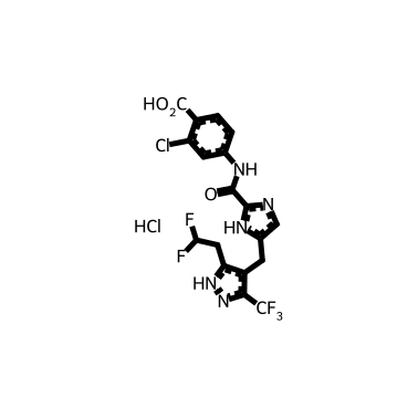 Cl.O=C(Nc1ccc(C(=O)O)c(Cl)c1)c1ncc(Cc2c(C(F)(F)F)n[nH]c2CC(F)F)[nH]1